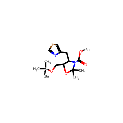 CC(C)(C)OC(=O)N1C(Cc2cscn2)C(CO[Si](C)(C)C(C)(C)C)OC1(C)C